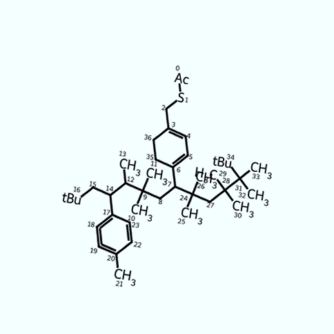 CC(=O)SCC1=CC=C(C(CC(C)(C)C(C)C(CC(C)(C)C)C2=C=C=C(C)C=C2)C(C)(C)CC(C)(C)C(C)(C)C(C)(C)C)CC1